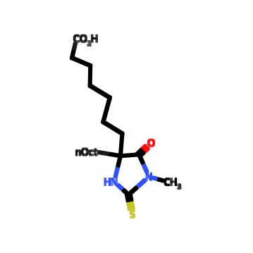 CCCCCCCCC1(CCCCCCC(=O)O)NC(=S)N(C)C1=O